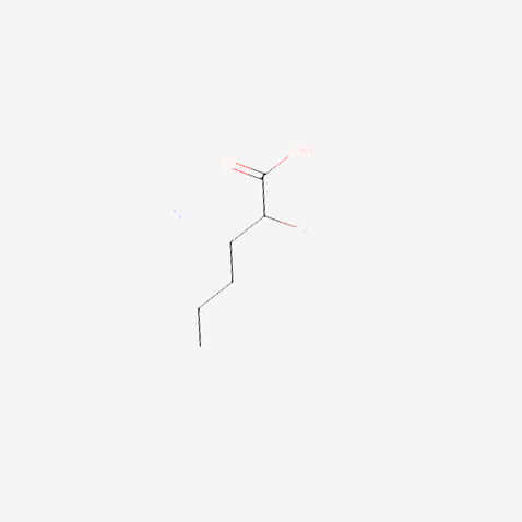 CCCCC(Br)C(=O)O.N